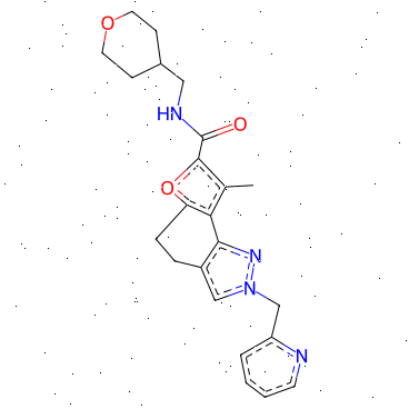 Cc1c(C(=O)NCC2CCOCC2)oc2c1-c1nn(Cc3ccccn3)cc1CC2